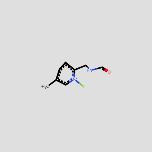 [CH2]c1ccc(CNC=O)[n+](F)c1